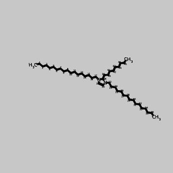 CCCCCCCCCCCCCCCCCCN1C=CN(CCCCCCCCCCCCCCCC)C1CCCCCCCCC